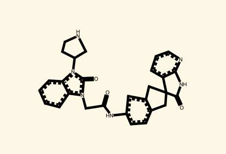 O=C(Cn1c(=O)n(C2CCNC2)c2ccccc21)Nc1ccc2c(c1)CC1(C2)C(=O)Nc2ncccc21